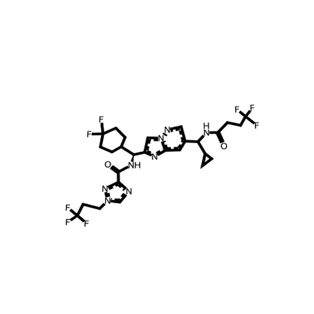 O=C(CCC(F)(F)F)NC(c1cnn2cc([C@@H](NC(=O)c3ncn(CCC(F)(F)F)n3)C3CCC(F)(F)CC3)nc2c1)C1CC1